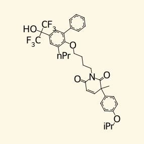 CCCc1cc(C(O)(C(F)(F)F)C(F)(F)F)cc(-c2ccccc2)c1OCCCCN1C(=O)C=CC(C)(c2ccc(OC(C)C)cc2)C1=O